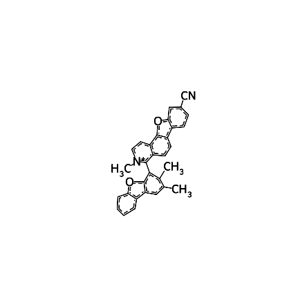 Cc1cc2c(oc3ccccc32)c(-c2c3ccc4c5ccc(C#N)cc5oc4c3cc[n+]2C)c1C